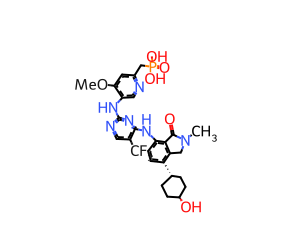 COc1cc(CP(=O)(O)O)ncc1Nc1ncc(C(F)(F)F)c(Nc2ccc([C@H]3CC[C@H](O)CC3)c3c2C(=O)N(C)C3)n1